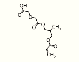 C=CC(=O)OCC(C)COC(=O)COCC(=O)O